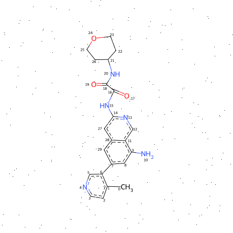 Cc1ccncc1-c1cc(N)c2cnc(NC(=O)C(=O)NC3CCOCC3)cc2c1